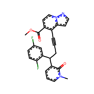 COC(=O)c1ccn2nccc2c1C#CCC(c1cc(F)ccc1F)c1cccn(C)c1=O